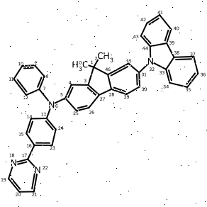 CC1(C)c2cc(N(c3ccccc3)c3ccc(-c4ncccn4)cc3)ccc2-c2ccc(-n3c4ccccc4c4ccccc43)cc21